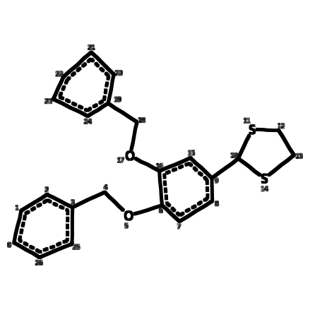 c1ccc(COc2ccc(C3SCCS3)cc2OCc2ccccc2)cc1